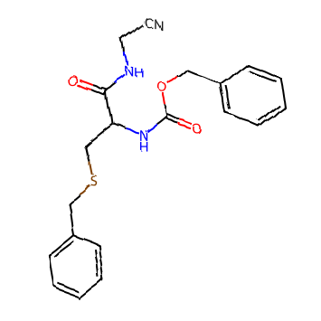 N#CCNC(=O)C(CSCc1ccccc1)NC(=O)OCc1ccccc1